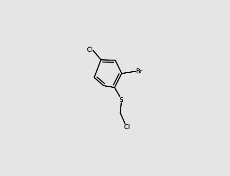 ClCSc1ccc(Cl)cc1Br